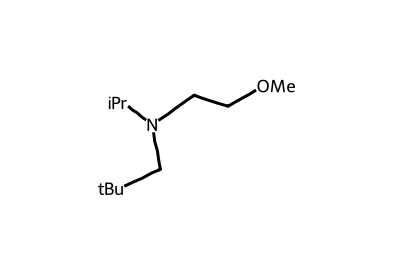 COCCN(CC(C)(C)C)C(C)C